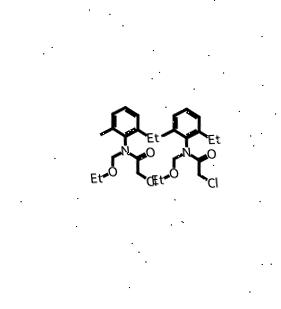 CCOCN(C(=O)CCl)c1c(C)cccc1CC.CCOCN(C(=O)CCl)c1c(C)cccc1CC